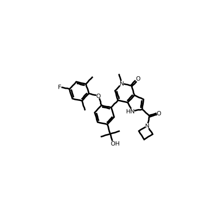 Cc1cc(F)cc(C)c1Oc1ccc(C(C)(C)O)cc1-c1cn(C)c(=O)c2cc(C(=O)N3CCC3)[nH]c12